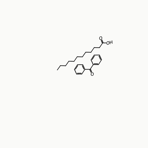 CCCCCCCCCCCC(=O)O.O=C(c1ccccc1)c1ccccc1